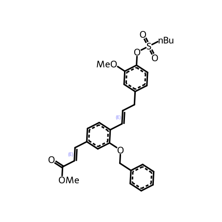 CCCCS(=O)(=O)Oc1ccc(C/C=C/c2ccc(/C=C/C(=O)OC)cc2OCc2ccccc2)cc1OC